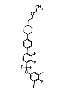 CCOCCC1CCC(c2ccc(-c3ccc(C(F)(F)Oc4cc(F)c(F)c(F)c4)c(F)c3F)cc2)CC1